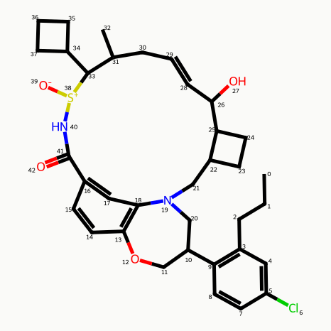 CCCc1cc(Cl)ccc1C1COc2ccc3cc2N(C1)CC1CCC1C(O)/C=C/CC(C)C(C1CCC1)[S+]([O-])NC3=O